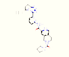 C[C@@H]1CCc2nnc(-c3cccc(NC(=O)c4cc5c(cn4)CCN(C(=O)N4CCCC4)C5)n3)n21